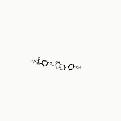 NC(=O)Nc1ccc(OCC(O)CN2CCN(c3ccc(O)cc3)CC2)cc1